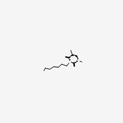 Cc1cn(C)c(=O)n(CCCCCCO)c1=O